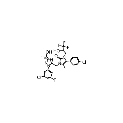 Cc1c(-c2ccc(Cl)cc2)n(CC(O)C(F)(F)F)c(=O)n1Cc1nc([C@H](C)O)nn1-c1cc(F)cc(Cl)c1